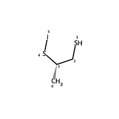 C[C@@H](CS)SI